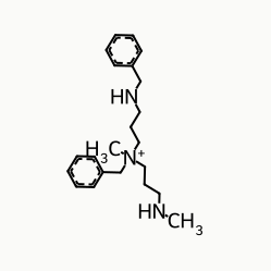 CNCCC[N+](C)(CCCNCc1ccccc1)Cc1ccccc1